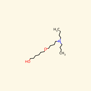 CCCCN(CCCC)CCCCOCCCCCCO